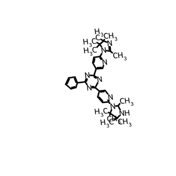 CC1=NC(C)(C)C(C)(C)N1c1ccc(-c2nc(-c3ccccc3)nc(-c3ccc(N4C(C)NC(C)(C)C4(C)C)nc3)n2)cn1